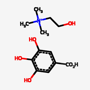 C[N+](C)(C)CCO.O=C(O)c1cc(O)c(O)c(O)c1